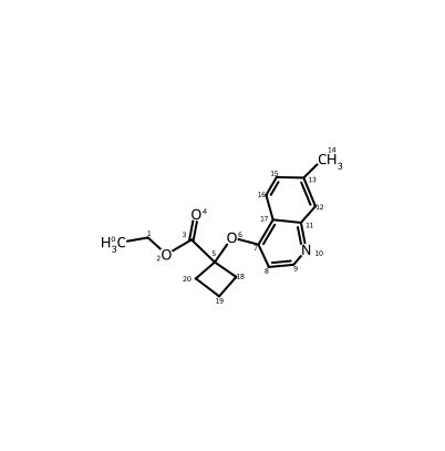 CCOC(=O)C1(Oc2ccnc3cc(C)ccc23)CCC1